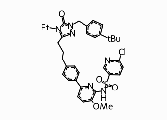 CCn1c(CCCc2ccc(-c3ccc(OC)c(NS(=O)(=O)c4ccc(Cl)nc4)n3)cc2)nn(Cc2ccc(C(C)(C)C)cc2)c1=O